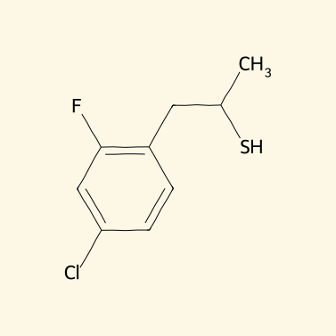 CC(S)Cc1ccc(Cl)cc1F